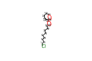 ClCCCCCCCCCOC1CCCCO1